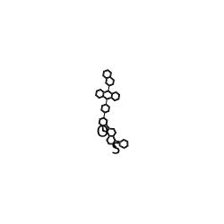 c1ccc2cc(-c3c4ccccc4c(-c4ccc(-c5ccc6oc7c(ccc8c7ccc7sc9ccccc9c78)c6c5)cc4)c4ccccc34)ccc2c1